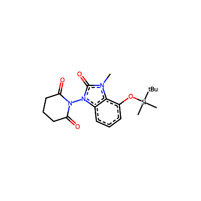 Cn1c(=O)n(N2C(=O)CCCC2=O)c2cccc(O[Si](C)(C)C(C)(C)C)c21